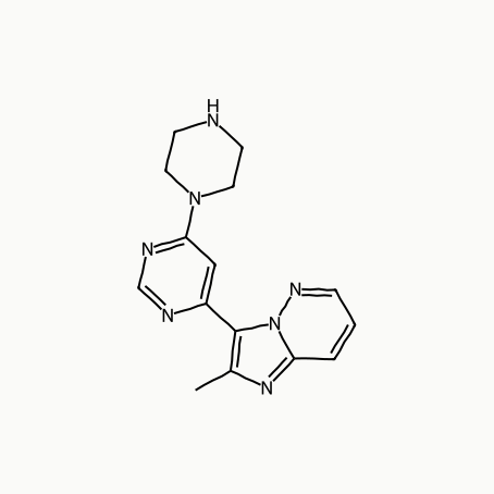 Cc1nc2cccnn2c1-c1cc(N2CCNCC2)ncn1